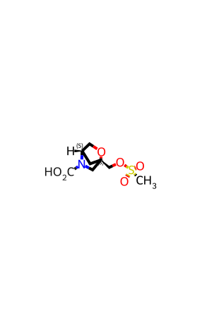 CS(=O)(=O)OC[C@@]12C[C@@H](CO1)N(C(=O)O)C2